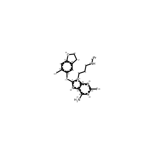 CC(C)NCCCn1c(Sc2cc3c(cc2I)OCC3)nc2c(N)nc(F)nc21